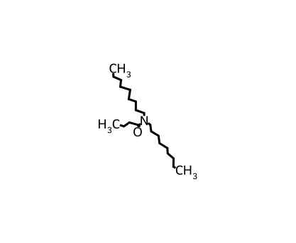 CCCCCCCCCN(CCCCCCCCC)C(=O)CCC